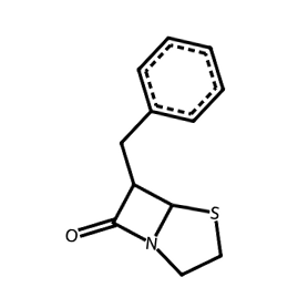 O=C1C(Cc2ccccc2)C2SCCN12